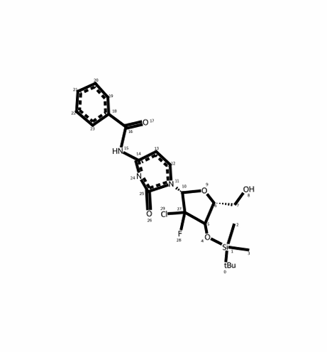 CC(C)(C)[Si](C)(C)OC1[C@@H](CO)O[C@@H](n2ccc(NC(=O)c3ccccc3)nc2=O)C1(F)Cl